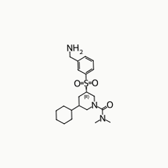 CN(C)C(=O)N1CC(C2CCCCC2)C[C@@H](S(=O)(=O)c2cccc(CN)c2)C1